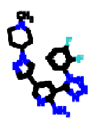 CN1CCC(n2cc(-c3cnc(N)c(-c4nnnn4-c4cccc(F)c4F)c3)cn2)CC1